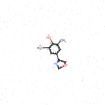 Cc1cc(-c2cocn2)cc(C)c1O